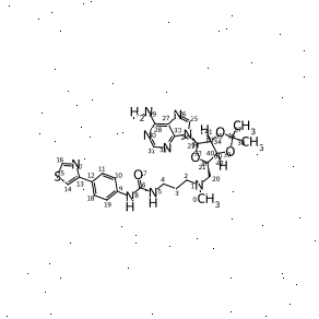 CN(CCCNC(=O)Nc1ccc(-c2cscn2)cc1)C[C@H]1O[C@@H](n2cnc3c(N)ncnc32)[C@@H]2OC(C)(C)O[C@@H]21